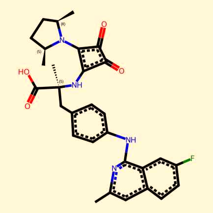 Cc1cc2ccc(F)cc2c(Nc2ccc(C[C@](C)(Nc3c(N4[C@H](C)CC[C@@H]4C)c(=O)c3=O)C(=O)O)cc2)n1